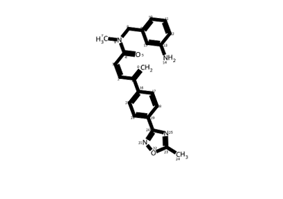 C=C(/C=C\C(=O)N(C)Cc1cccc(N)c1)c1ccc(-c2noc(C)n2)cc1